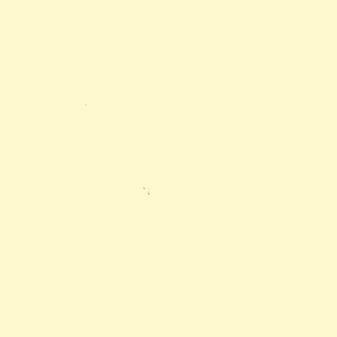 COc1cccc2c1[c]c(F)n2-c1cccc(C)c1